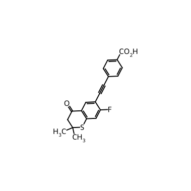 CC1(C)CC(=O)c2cc(C#Cc3ccc(C(=O)O)cc3)c(F)cc2S1